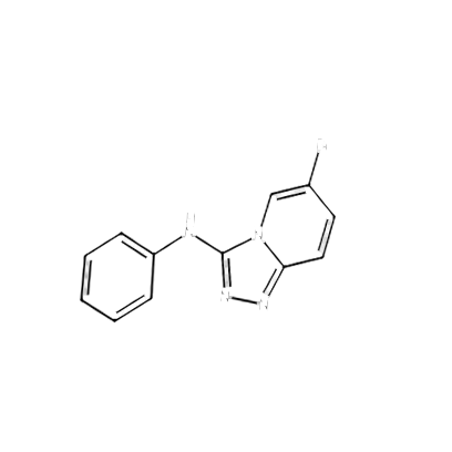 Brc1ccc2nnc(Nc3ccccc3)n2c1